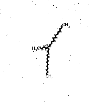 CCCCCCCCCCCCCC=CC(O)(CCCCC)CCCCCCCCCCCCCCC